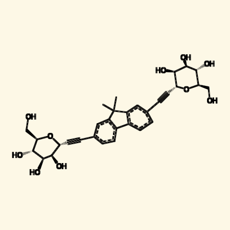 CC1(C)c2cc(C#C[C@H]3O[C@H](CO)[C@@H](O)[C@H](O)[C@@H]3O)ccc2-c2ccc(C#C[C@H]3O[C@H](CO)[C@@H](O)[C@H](O)[C@@H]3O)cc21